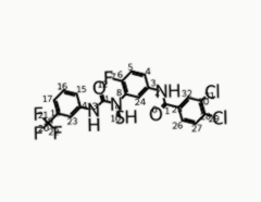 O=C(Nc1ccc(F)c(N(S)C(=O)Nc2cccc(C(F)(F)F)c2)c1)c1ccc(Cl)c(Cl)c1